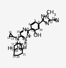 Cn1nc(-c2ccc(-c3ncc(N(C4CC4)[C@H]4C[C@@H]5CCC[C@@H](N5)[C@H]4F)nn3)c(O)c2)nc1C#N